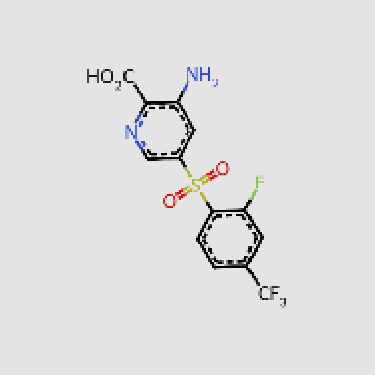 Nc1cc(S(=O)(=O)c2ccc(C(F)(F)F)cc2F)cnc1C(=O)O